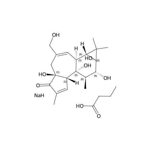 CC1=C[C@H]2[C@]3(O)[C@H](C)[C@@H](O)[C@@]4(O)[C@H]([C@@H]3C=C(CO)C[C@@]2(O)C1=O)C4(C)C.CCCC(=O)O.[NaH]